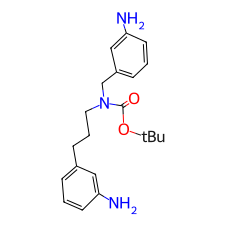 CC(C)(C)OC(=O)N(CCCc1cccc(N)c1)Cc1cccc(N)c1